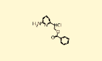 Cl.Nc1cccc(CCOC(=O)c2ccccc2)n1